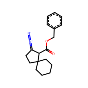 [N-]=[N+]=C1CCC2(CCCCC2)C1C(=O)OCc1ccccc1